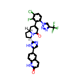 O=C1C=C(c2c(-n3cc(C(F)(F)F)nn3)ccc(Cl)c2F)C[C@H]2CC[C@@H](c3ncc(-c4ccc5[nH]c(=O)ccc5c4)[nH]3)N12